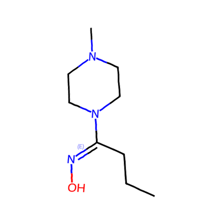 CCC/C(=N\O)N1CCN(C)CC1